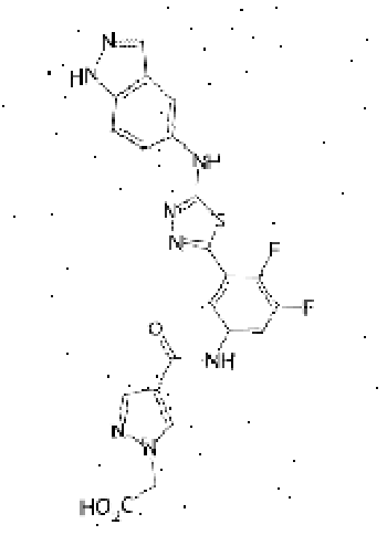 O=C(O)Cn1cc(C(=O)Nc2cc(F)c(F)c(-c3nnc(Nc4ccc5[nH]ncc5c4)s3)c2)cn1